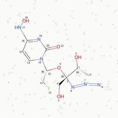 C[C@@H](O)[C@](CO)(N=[N+]=[N-])O[C@H](CF)n1ccc(NO)nc1=O